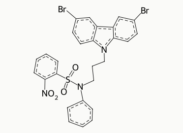 O=[N+]([O-])c1ccccc1S(=O)(=O)N(CCCn1c2ccc(Br)cc2c2cc(Br)ccc21)c1ccccc1